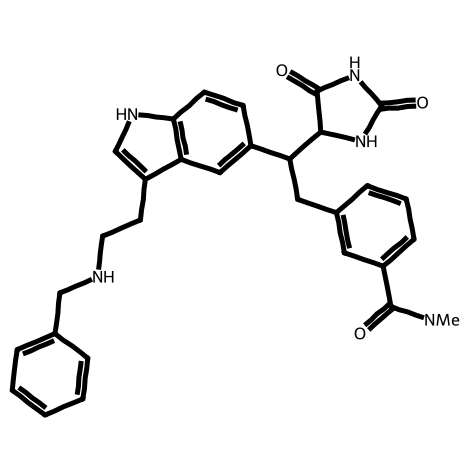 CNC(=O)c1cccc(CC(c2ccc3[nH]cc(CCNCc4ccccc4)c3c2)C2NC(=O)NC2=O)c1